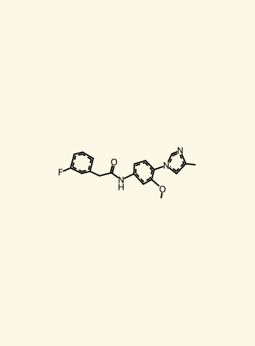 COc1cc(NC(=O)Cc2cccc(F)c2)ccc1-n1cnc(C)c1